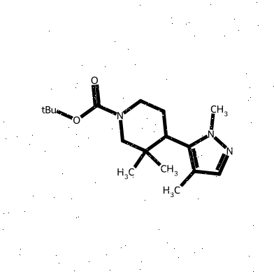 Cc1cnn(C)c1C1CCN(C(=O)OC(C)(C)C)CC1(C)C